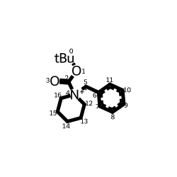 CC(C)(C)OC(=O)[N+]1([CH]c2ccccc2)CCCCC1